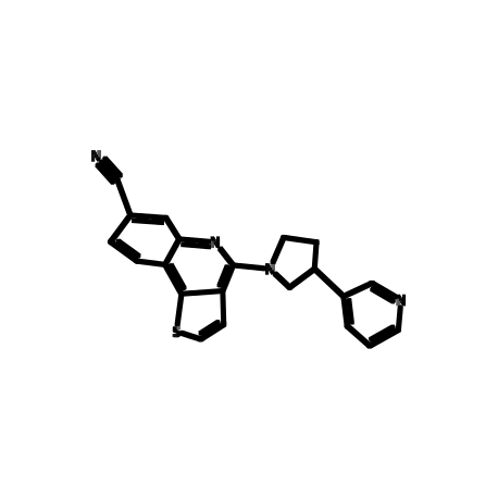 N#Cc1ccc2c(c1)nc(N1CCC(c3cccnc3)C1)c1ccsc12